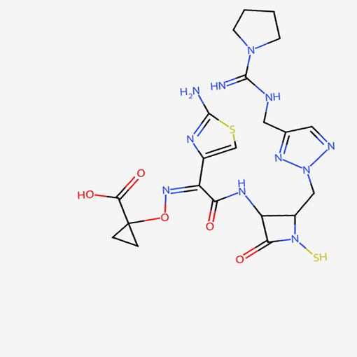 N=C(NCc1cnn(CC2C(NC(=O)/C(=N\OC3(C(=O)O)CC3)c3csc(N)n3)C(=O)N2S)n1)N1CCCC1